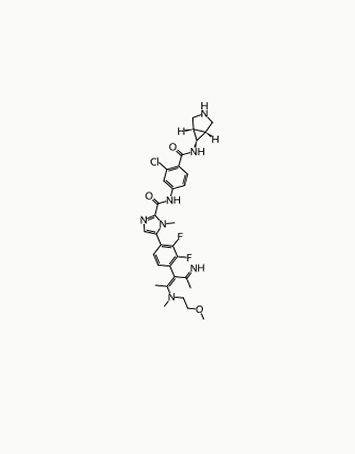 COCCN(C)/C(C)=C(\C(C)=N)c1ccc(-c2cnc(C(=O)Nc3ccc(C(=O)N[C@H]4[C@@H]5CNC[C@@H]54)c(Cl)c3)n2C)c(F)c1F